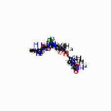 C=C1N(C)c2c(CCCOCCCN(C)C(=O)c3ccc(-n4cc(NC(=O)c5coc(-c6ccnc(NCC7CC7)c6)n5)c(C(F)F)n4)cc3)cccc2N1C1CCC(=O)NC1=O